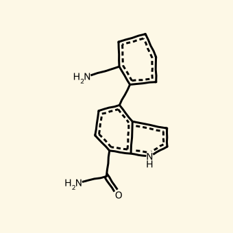 NC(=O)c1ccc(-c2ccccc2N)c2cc[nH]c12